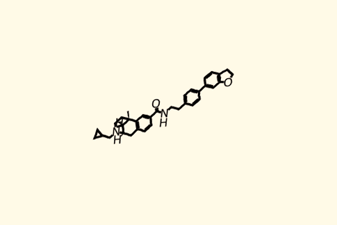 C[C@H]1[C@H]2Cc3ccc(C(=O)NCCc4ccc(-c5ccc6c(c5)OCC6)cc4)cc3[C@@]1(C)CCN2CC1CC1